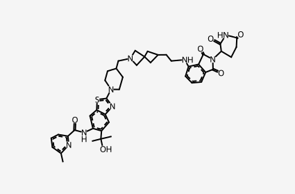 Cc1cccc(C(=O)Nc2cc3sc(N4CCC(CN5CC6(CC(CCNc7cccc8c7C(=O)N(C7CCC(=O)NC7=O)C8=O)C6)C5)CC4)nc3cc2C(C)(C)O)n1